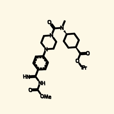 COC(=O)NC(=N)c1ccc(N2CCN(C(=O)N(C)[C@H]3CC[C@H](C(=O)OC(C)C)CC3)CC2)cc1